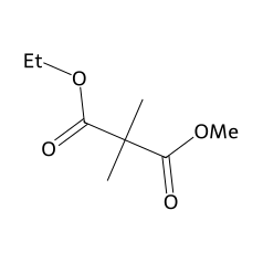 CCOC(=O)C(C)(C)C(=O)OC